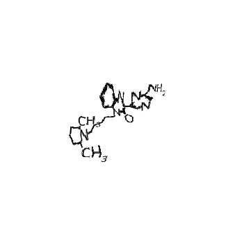 CC1CCCC(C)N1CCCCCn1c(=O)c(-c2cncc(N)n2)nc2ccccc21